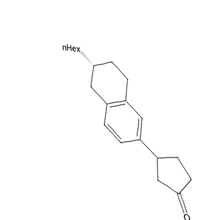 CCCCCC[C@@H]1CCc2cc(C3CCC(=O)C3)ccc2C1